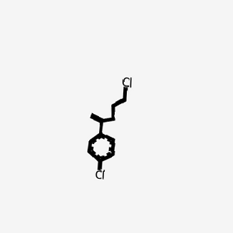 C=C(CCCCl)c1ccc(Cl)cc1